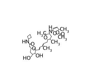 CC(=O)OC(C)/C=C\C(=O)NC1CC(C)C(C/C=C(C)/C=C/C2O[C@H](CC(=O)NC3CCC3)CC(CO)[C@@H]2O)OC1C